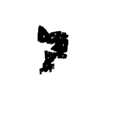 CC1(C)C(=O)N(Cc2ccccc2)c2cc(C(=O)NCc3c(F)cc(F)cc3F)ccc21